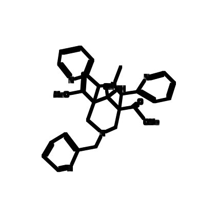 COC(=O)C12CN(Cc3ccccn3)CC(C(=O)OC)(C(c3ccccn3)N(C)C1c1ccccn1)C2(O)O